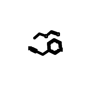 CCOC=O.N#CCc1cccnc1